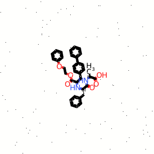 C[C@H](NC(=O)[C@H](Cc1ccccc1)NC(Cc1ccc(-c2ccccc2)cc1)C(=O)OCCOc1ccccc1)C(=O)O